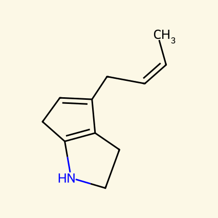 C/C=C\CC1=CCC2=C1CCN2